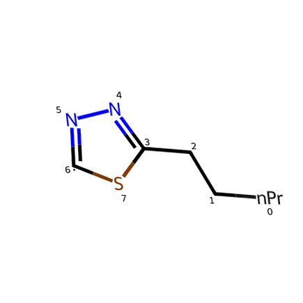 CCCCCc1nn[c]s1